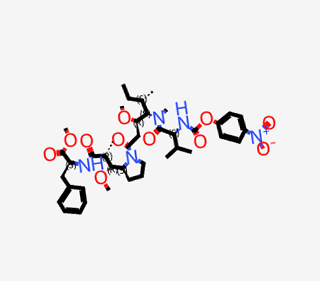 CC[C@H](C)[C@@H]([C@@H](CC(=O)N1CCC[C@H]1[C@H](OC)[C@@H](C)C(=O)N[C@@H](Cc1ccccc1)C(=O)OC)OC)N(C)C(=O)[C@@H](NC(=O)Oc1ccc([N+](=O)[O-])cc1)C(C)C